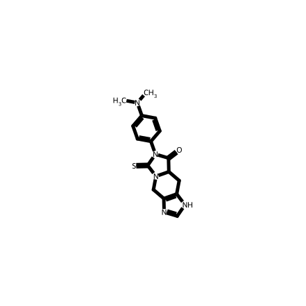 CN(C)c1ccc(N2C(=O)C3Cc4[nH]cnc4CN3C2=S)cc1